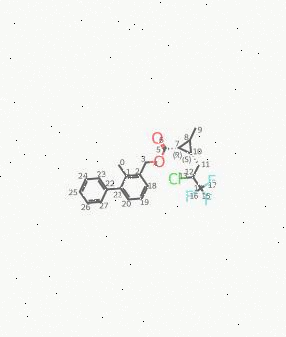 Cc1c(COC(=O)[C@@H]2C(C)[C@@H]2CC(Cl)C(F)(F)F)cccc1-c1ccccc1